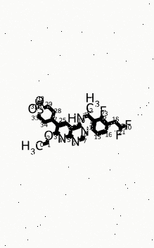 CCOc1nc2ncnc(N[C@H](C)c3cccc(CC(F)F)c3F)c2cc1C1CCS(=O)(=O)CC1